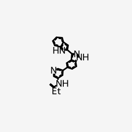 C=C(CC)Nc1cncc(-c2ccc3[nH]nc(-c4cc5ccccc5[nH]4)c3c2)c1